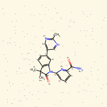 Cc1ncc(-c2ccc3c(c2)N(c2cccc(C(N)=O)n2)C(=O)C3(C)C)cn1